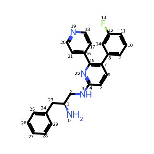 N[C@H](CNc1ccc(-c2cccc(F)c2)c(-c2ccncc2)n1)Cc1ccccc1